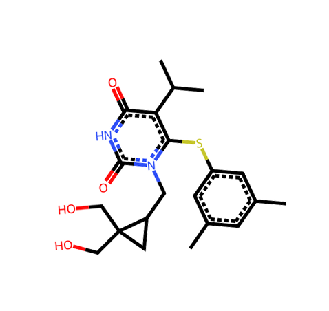 Cc1cc(C)cc(Sc2c(C(C)C)c(=O)[nH]c(=O)n2CC2CC2(CO)CO)c1